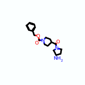 N[C@H]1CCN(C(=O)C2CCN(C(=O)OCc3ccccc3)CC2)C1